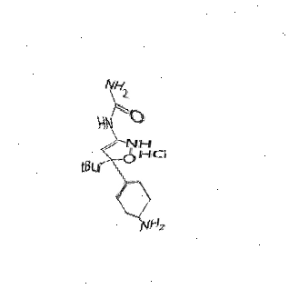 CC(C)(C)C1(C2CCC(N)CC2)C=C(NC(N)=O)NO1.Cl